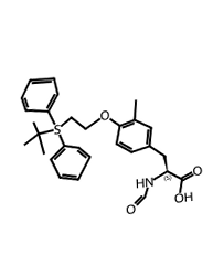 Cc1cc(C[C@H](NC=O)C(=O)O)ccc1OCCS(c1ccccc1)(c1ccccc1)C(C)(C)C